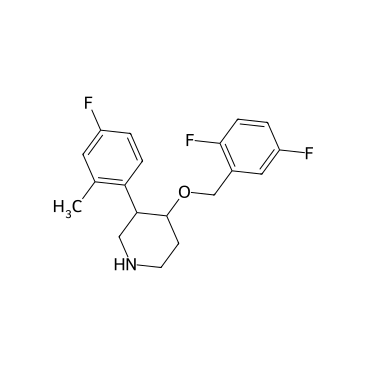 Cc1cc(F)ccc1C1CNCCC1OCc1cc(F)ccc1F